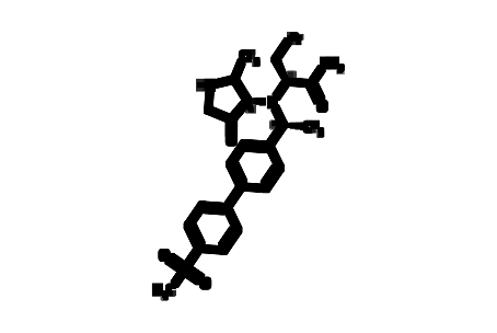 CC(C)C[C@@H](C(N)=O)N([C@@H]1C(=O)CNC1C(F)(F)F)[C@@H](c1ccc(-c2ccc(S(C)(=O)=O)cc2)cc1)C(F)(F)F